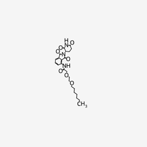 CCCCCCCOCCOCC(=O)Nc1cccc2c1C(=O)N(C1CCC(=O)NC1=O)C2=O